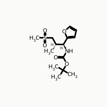 C[C@H](CS(C)(=O)=O)[C@H](NC(=O)OC(C)(C)C)c1ccco1